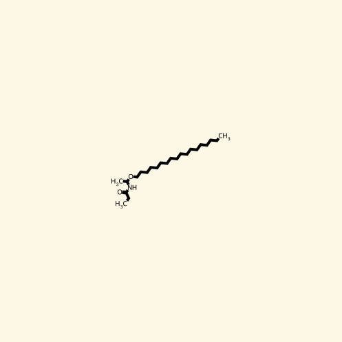 CCCCCCCCCCCCCCCCCCOC(C)NC(=O)CC